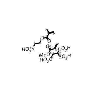 C=C(C)C(=O)OCCS(=O)(=O)O.C=CC(=O)OC.O=C(O)CC(C(=O)O)S(=O)(=O)O